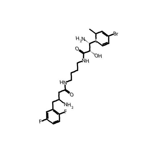 CC1C=C(Br)C=CI1[C@@H](N)[C@H](O)C(=O)NCCCCNC(=O)CC(N)Cc1cc(F)ccc1F